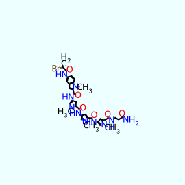 C=C(Br)C(=O)Nc1ccc2c(c1)cc(C(=O)Nc1cc(C(=O)Nc3cc(C(=O)Nc4cc(C(=O)NCCC(N)=O)n(C)c4)n(C)c3)n(C)c1)n2C